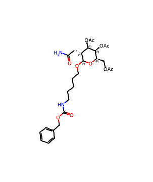 CC(=O)OC[C@H]1O[C@@H](OCCCCCNC(=O)OCc2ccccc2)[C@H](CC(N)=O)[C@@H](OC(C)=O)[C@H]1OC(C)=O